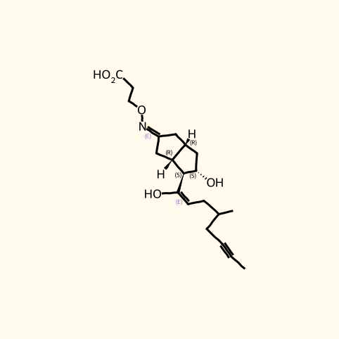 CC#CCC(C)C/C=C(/O)[C@H]1[C@@H]2C/C(=N/OCCC(=O)O)C[C@@H]2C[C@@H]1O